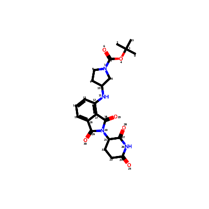 CC(C)(C)OC(=O)N1CCC(Nc2cccc3c2C(=O)N(C2CCC(=O)NC2=O)C3=O)C1